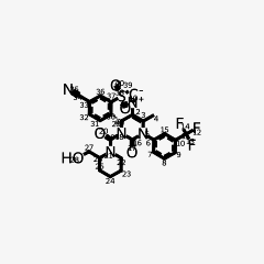 [C-]#[N+]C1=C(C)N(c2cccc(C(F)(F)F)c2)C(=O)N(C(=O)N2CCCCC2CO)[C@@H]1c1ccc(C#N)cc1S(C)(=O)=O